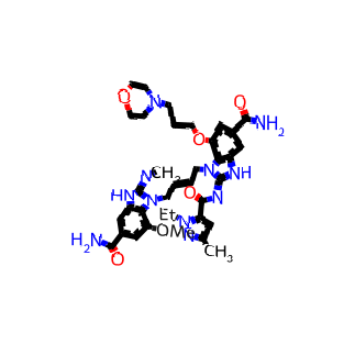 CCn1nc(C)cc1C(=O)/N=c1/[nH]c2cc(C(N)=O)cc(OCCCN3CCOCC3)c2n1C/C=C/Cn1/c(=N\C)[nH]c2cc(C(N)=O)cc(OC)c21